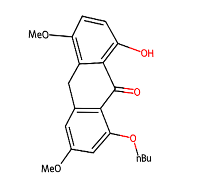 CCCCOc1cc(OC)cc2c1C(=O)c1c(O)ccc(OC)c1C2